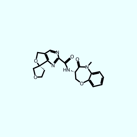 CN1C(=O)[C@@H](NC(=O)c2ncc3c(n2)[C@]2(CCOC2)OC3)COc2ccccc21